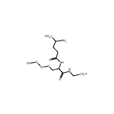 NC(CCC(=O)NC(COOOS)C(=O)NCC(=O)O)C(=O)O